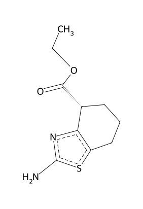 CCOC(=O)[C@@H]1CCCc2sc(N)nc21